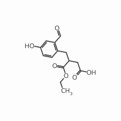 CCOC(=O)C(CC(=O)O)Cc1ccc(O)cc1C=O